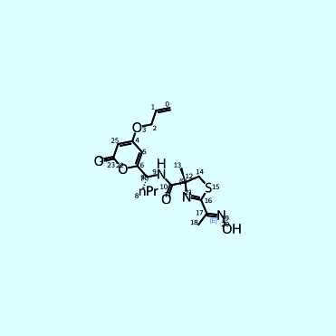 C=CCOc1cc([C@@H](CCC)NC(=O)[C@]2(C)CSC(/C(C)=N/O)=N2)oc(=O)c1